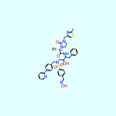 Cc1nc(CN2CCN([C@H](C(=O)N[C@@H](Cc3ccccc3)[C@@H](O)CN(Cc3ccc(-c4ccccn4)cc3)S(=O)(=O)c3ccc(C=NO)cc3)C(C)C)C2=O)cs1